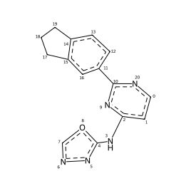 c1cc(Nc2nnco2)nc(-c2ccc3c(c2)CCC3)n1